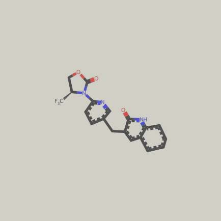 O=C1OC[C@H](C(F)(F)F)N1c1ccc(Cc2cc3ccccc3[nH]c2=O)cn1